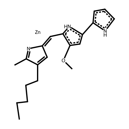 CCCCCC1=CC(=Cc2[nH]c(-c3ccc[nH]3)cc2OC)N=C1C.[Zn]